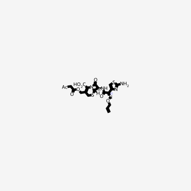 C=CCO/N=C(\C(=O)N[C@@H]1C(=O)N2C(C(=O)O)=C(COC(=O)CC(C)=O)CS[C@@H]12)c1csc(N)n1